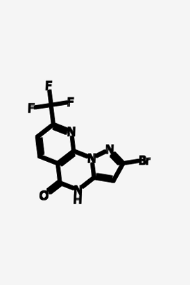 O=c1[nH]c2cc(Br)nn2c2nc(C(F)(F)F)ccc12